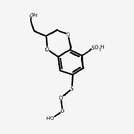 O=S(=O)(O)c1cc(SOOO)cc2c1OCC(CO)O2